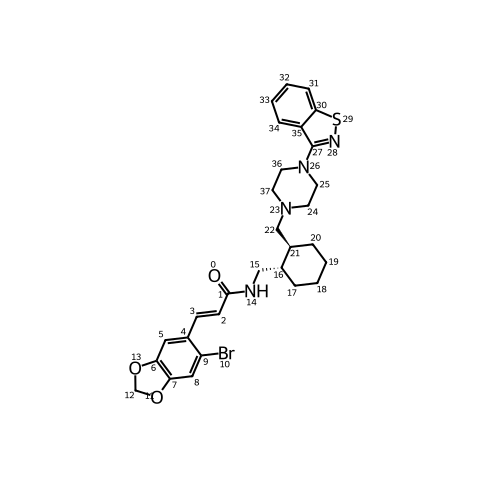 O=C(/C=C/c1cc2c(cc1Br)OCO2)NC[C@H]1CCCC[C@@H]1CN1CCN(c2nsc3ccccc23)CC1